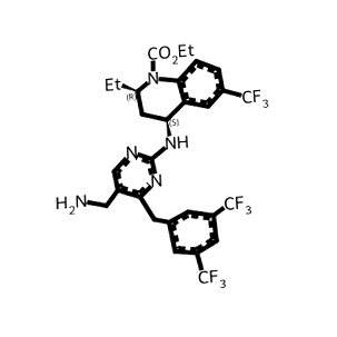 CCOC(=O)N1c2ccc(C(F)(F)F)cc2[C@@H](Nc2ncc(CN)c(Cc3cc(C(F)(F)F)cc(C(F)(F)F)c3)n2)C[C@H]1CC